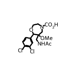 COC1(CNC(C)=O)CN(C(=O)O)CCOC1c1ccc(Cl)c(Cl)c1